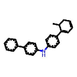 CC1CC=CC=C1c1ccc(Nc2ccc(-c3ccccc3)cc2)cc1